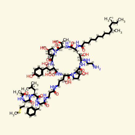 CC[C@H](C)C[C@H](C)CCCCCCCCC(=O)N[C@H]1C[C@@H](O)[C@@H](NCCN)NC(=O)[C@@H]2[C@@H](O)CCN2C(=O)[C@H]([C@H](O)CCNC(=O)CCNC(=O)[C@H](Cc2ccccc2)NC(=O)[C@H](CC(C)C)NC(=O)[C@H](CCSC)NC(C)=O)NC(=O)[C@H]([C@H](O)[C@@H](O)c2ccc(O)cc2)NC(=O)[C@@H]2C[C@@H](O)CN2C(=O)[C@H]([C@@H](C)O)NC1=O